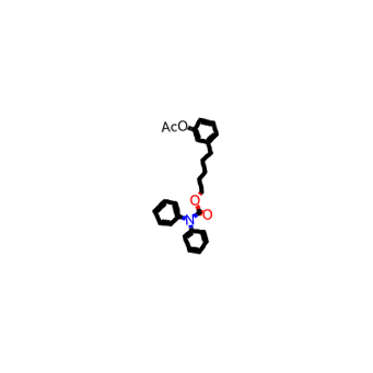 CC(=O)Oc1cccc(CCCCCOC(=O)N(c2ccccc2)c2ccccc2)c1